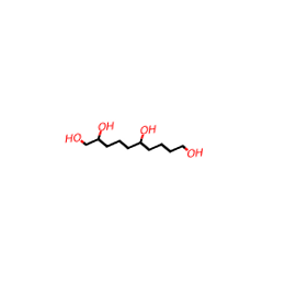 OCCCCC(O)CCCC(O)CO